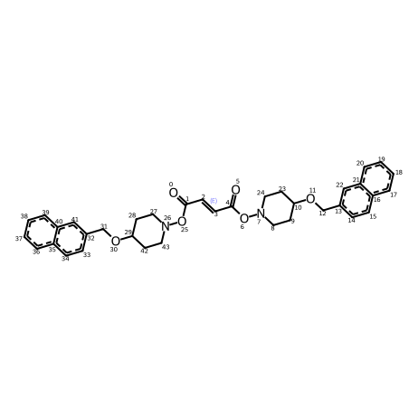 O=C(/C=C/C(=O)ON1CCC(OCc2ccc3ccccc3c2)CC1)ON1CCC(OCc2ccc3ccccc3c2)CC1